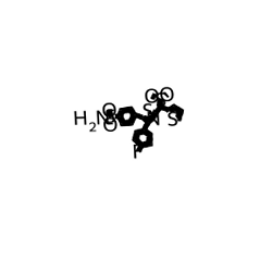 NS(=O)(=O)c1ccc(-c2sc(C(c3cccs3)=S(=O)=O)nc2-c2ccc(F)cc2)cc1